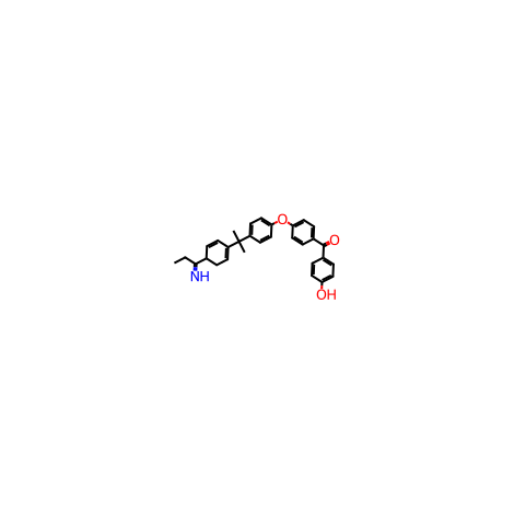 CCC(=N)C1C=CC(C(C)(C)c2ccc(Oc3ccc(C(=O)c4ccc(O)cc4)cc3)cc2)=CC1